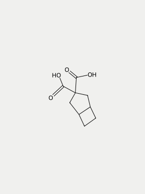 O=C(O)C1(C(=O)O)CC2CCC2C1